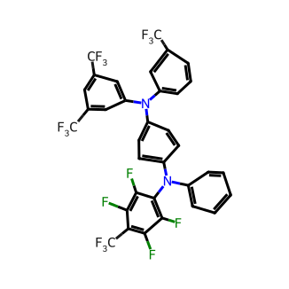 Fc1c(F)c(C(F)(F)F)c(F)c(F)c1N(c1ccccc1)c1ccc(N(c2cccc(C(F)(F)F)c2)c2cc(C(F)(F)F)cc(C(F)(F)F)c2)cc1